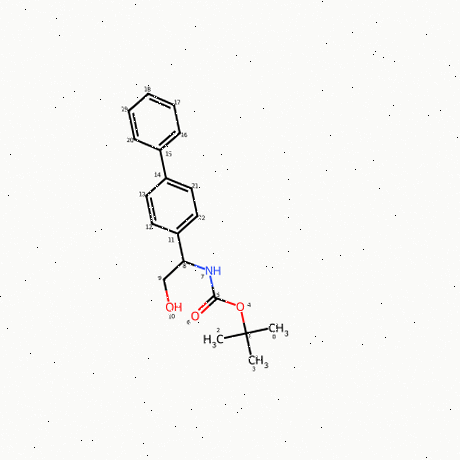 CC(C)(C)OC(=O)NC(CO)c1ccc(-c2ccccc2)cc1